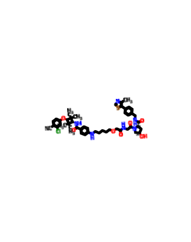 Cc1ncsc1-c1ccc(CNC(=O)[C@@H]2C[C@@H](O)CN2C(=O)CNC(=O)COCCCCCNc2ccc(C(=O)N[C@H]3C(C)(C)[C@H](Oc4ccc(C#N)c(Cl)c4)C3(C)C)cc2)cc1